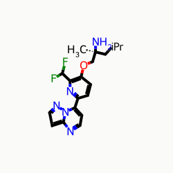 CC(C)C[C@](C)(N)COc1ccc(-c2ccnc3ccnn23)nc1C(F)F